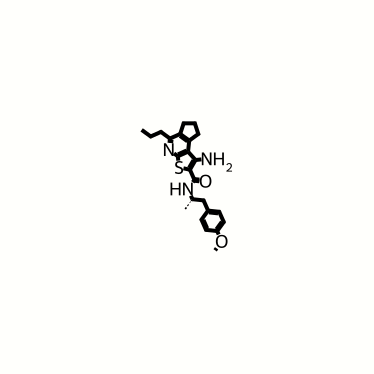 CCCc1nc2sc(C(=O)N[C@@H](C)Cc3ccc(OC)cc3)c(N)c2c2c1CCC2